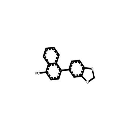 Oc1ccc(-c2ccc3c(c2)OCO3)c2ccccc12